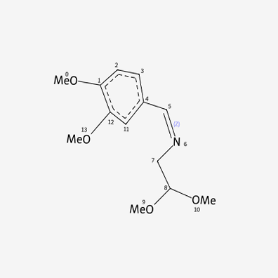 COc1ccc(/C=N\CC(OC)OC)cc1OC